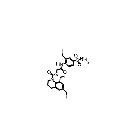 NS(=O)(=O)c1ccc(NC(=O)CSC(=O)N2CCCc3cc(CI)cc(CI)c32)c(CI)c1